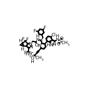 CC(C)(O)C#Cc1ccc(-c2ccc(Cl)c3c(NS(C)(=O)=O)n[nH]c23)c([C@H](Cc2cc(F)cc(F)c2)NC(=O)Cn2nc(C(F)F)c3c2C(F)(F)[C@@H]2C[C@H]32)n1